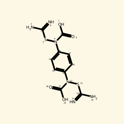 N=C(N)SN(C(=O)O)c1ccc(N(SC(=N)N)C(=O)O)cc1